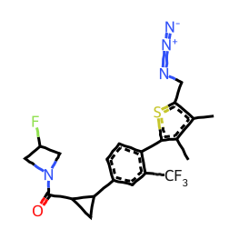 Cc1c(CN=[N+]=[N-])sc(-c2ccc(C3CC3C(=O)N3CC(F)C3)cc2C(F)(F)F)c1C